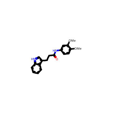 COc1ccc(NC(=O)CCc2c[nH]c3ccccc23)cc1OC